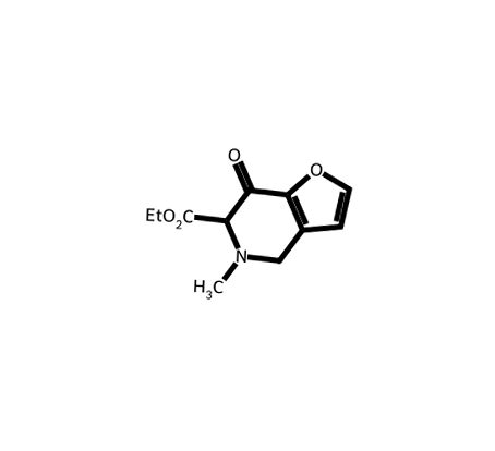 CCOC(=O)C1C(=O)c2occc2CN1C